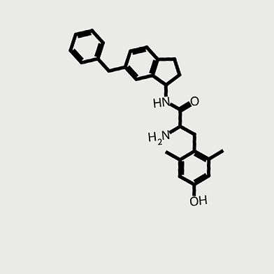 Cc1cc(O)cc(C)c1CC(N)C(=O)NC1CCc2ccc(Cc3ccccc3)cc21